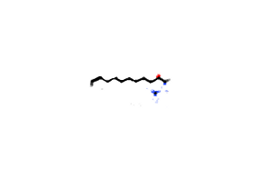 CCCCCCCC/C=C\CCCCCCCC(=O)C(C(=O)O)N(C)C(=N)N.[Na]